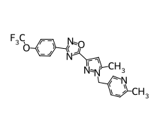 Cc1ccc(Cn2nc(-c3nc(-c4ccc(OC(F)(F)F)cc4)no3)cc2C)cn1